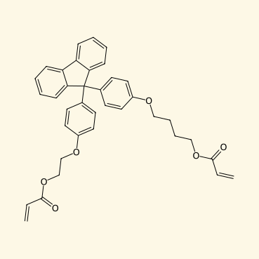 C=CC(=O)OCCCCOc1ccc(C2(c3ccc(OCCOC(=O)C=C)cc3)c3ccccc3-c3ccccc32)cc1